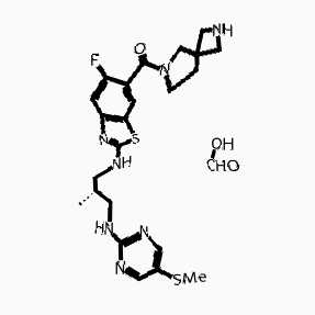 CSc1cnc(NC[C@H](C)CNc2nc3cc(F)c(C(=O)N4CCC5(CNC5)C4)cc3s2)nc1.O=CO